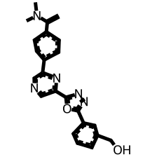 C=C(c1ccc(-c2cncc(-c3nnc(-c4cccc(CO)c4)o3)n2)cc1)N(C)C